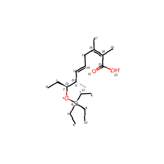 CC[C@H](O[Si](CC)(CC)CC)[C@@H](C)C=CCC(C)=C(C)C(=O)O